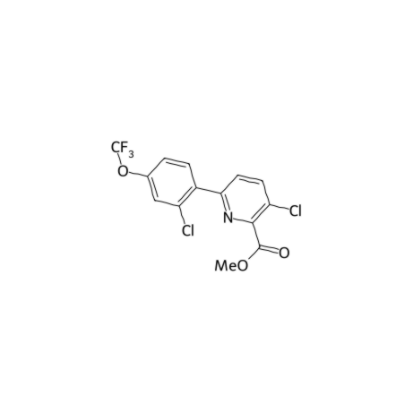 COC(=O)c1nc(-c2ccc(OC(F)(F)F)cc2Cl)ccc1Cl